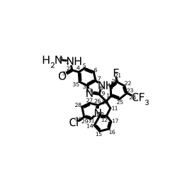 NNC(=O)c1ccc2[nH]c(C(Cc3ccccc3)(c3cc(F)cc(C(F)(F)F)c3)c3ccc(Cl)cn3)nc2c1